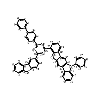 c1ccc(-c2ccc(-c3nc(-c4ccc5sc6ccccc6c5c4)nc(-c4cccc5c4oc4cc6c7ccccc7n(-c7ccccc7)c6cc45)n3)cc2)cc1